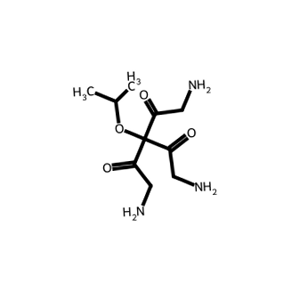 CC(C)OC(C(=O)CN)(C(=O)CN)C(=O)CN